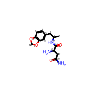 CC(Cc1ccc2c(c1)OCO2)NC(=O)C(N)CC(N)=O